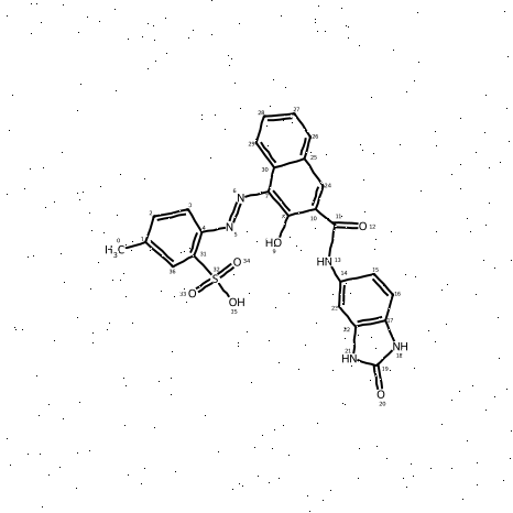 Cc1ccc(/N=N/c2c(O)c(C(=O)Nc3ccc4[nH]c(=O)[nH]c4c3)cc3ccccc23)c(S(=O)(=O)O)c1